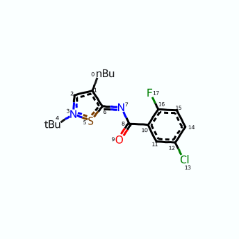 CCCCc1cn(C(C)(C)C)sc1=NC(=O)c1cc(Cl)ccc1F